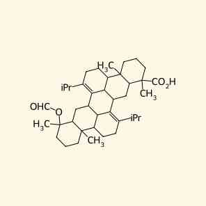 CC(C)C1=C2C3CC4C(C)(C(=O)O)CCCC4(C)C4CCC(C(C)C)=C(C5CC6C(C)(OC=O)CCCC6(C)C(CC1)C25)C34